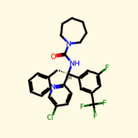 O=C(N[C@@](Cc1ccccc1)(c1cc(F)cc(C(F)(F)F)c1)c1ccc(Cl)cn1)N1CCCCCC1